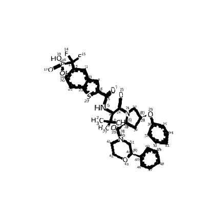 CC(C)(C)C(NC(=O)c1cc2cc(C(F)(F)P(=O)(O)O)ccc2s1)C(=O)N1C[C@H](Oc2ccccc2)C[C@H]1C(=O)N1CCO[C@H](c2ccccc2)C1